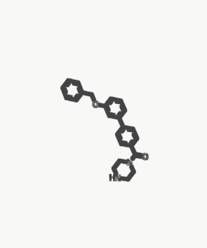 O=C(c1ccc(-c2cccc(OCc3ccccc3)c2)cc1)N1CCNCC1